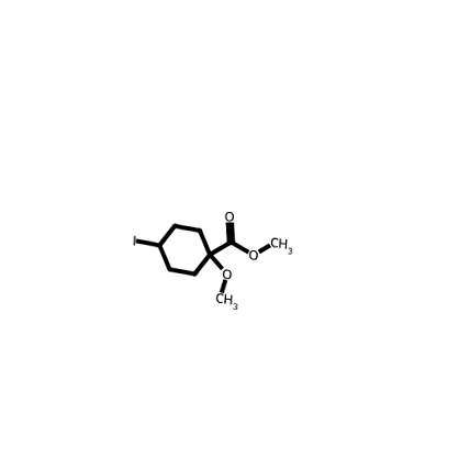 COC(=O)C1(OC)CCC(I)CC1